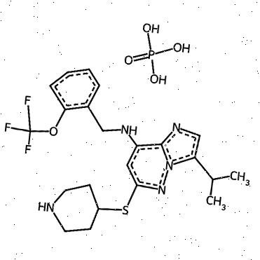 CC(C)c1cnc2c(NCc3ccccc3OC(F)(F)F)cc(SC3CCNCC3)nn12.O=P(O)(O)O